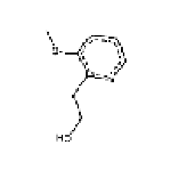 COc1cccnc1CCO